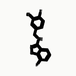 Fc1ccc(CNc2noc3c(F)cccc23)cc1Cl